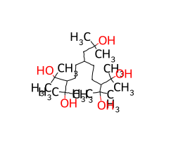 CC(C)(O)CC(CCC(C(C)(C)O)C(C)(C)O)CCC(C(C)(C)O)C(C)(C)O